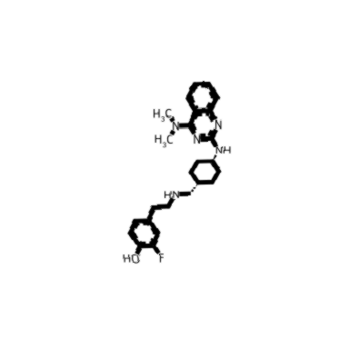 CN(C)c1nc(N[C@H]2CC[C@@H](CNCCc3ccc(O)c(F)c3)CC2)nc2ccccc12